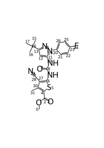 COC(=O)c1sc(NC(=O)Nc2cc(C(C)(C)C)nn2-c2ccc(F)cc2)c(C#N)c1C